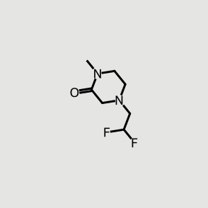 CN1CCN(CC(F)F)CC1=O